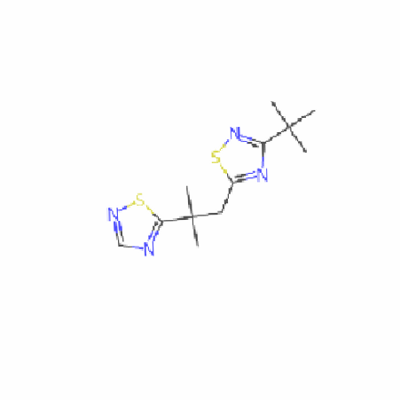 CC(C)(C)c1nsc(CC(C)(C)c2ncns2)n1